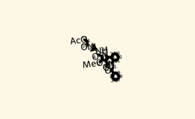 COc1c(C(=O)NC2CN(C(=O)COC(C)=O)C2)n(C)c2c1c(=O)n(CC(=O)c1ccccc1)c1ccccc21